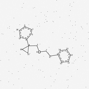 [c]1ccc(C2(COCCc3ccccc3)CC2)cc1